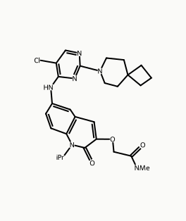 CNC(=O)COc1cc2cc(Nc3nc(N4CCC5(CCC5)CC4)ncc3Cl)ccc2n(C(C)C)c1=O